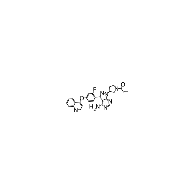 C=CC(=O)N1CCC(n2nc(-c3ccc(Oc4ccnc5ccccc45)cc3F)c3c(N)ncnc32)C1